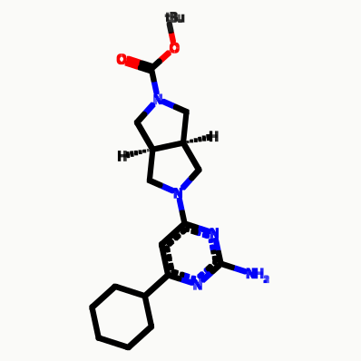 CC(C)(C)OC(=O)N1C[C@@H]2CN(c3cc(C4CCCCC4)nc(N)n3)C[C@@H]2C1